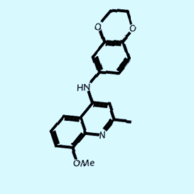 COc1cccc2c(Nc3ccc4c(c3)OCCO4)cc(C)nc12